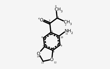 CC(C)C(=O)c1cc2c(cc1N)OCO2